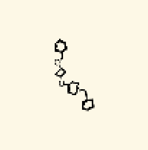 C1=C(O[C@H]2C[C@H](OCc3ccccc3)C2)CCN(Cc2ccccc2)C1